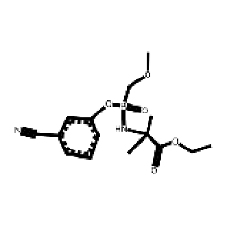 CCOC(=O)C(C)(C)NP(=O)(COC)Oc1cccc(C#N)c1